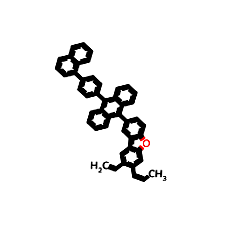 C=Cc1cc2c(cc1/C=C\C)oc1ccc(-c3c4ccccc4c(-c4ccc(-c5cccc6ccccc56)cc4)c4ccccc34)cc12